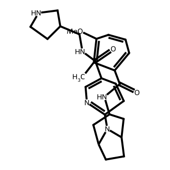 COc1cccc(C(=O)NC2CC3CCC(C2)N3c2ccc(C(=O)NCC3CCNC3)cn2)c1C